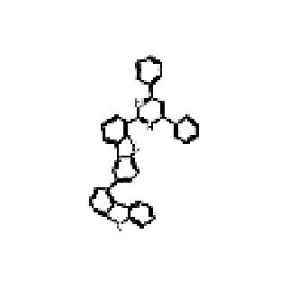 c1ccc(-c2cc(-c3ccccc3)nc(-c3cccc4c3oc3ccc(-c5cccc6oc7ccccc7c56)cc34)n2)cc1